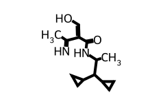 CC(=N)/C(=C\O)C(=O)NC(C)C(C1CC1)C1CC1